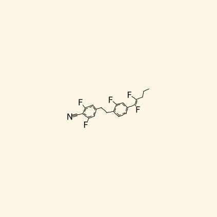 CCC/C(F)=C(\F)c1ccc(CCc2cc(F)c(C#N)c(F)c2)c(F)c1